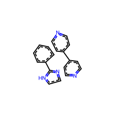 c1cc(-c2ccncc2)ccn1.c1ccc(-c2ncc[nH]2)cc1